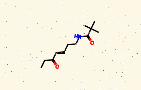 CCC(=O)C=CCCNC(=O)C(C)(C)C